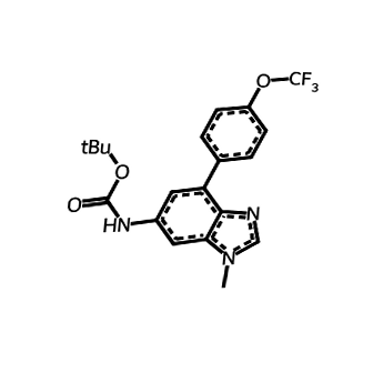 Cn1cnc2c(-c3ccc(OC(F)(F)F)cc3)cc(NC(=O)OC(C)(C)C)cc21